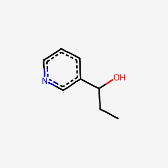 CCC(O)c1[c]nccc1